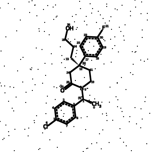 C[C@@H](c1ccc(Cl)cc1)N1CC[C@](CCCO)(c2ccc(F)cc2)CC1=O